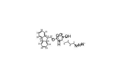 [N-]=[N+]=NCCCC[C@H](NC(=O)OCC1c2ccccc2-c2ccccc21)C(=O)O